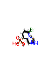 O=S(=O)(O)C1=CC=C(Br)N2SNC=C12